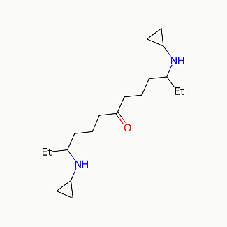 CCC(CCCC(=O)CCCC(CC)NC1CC1)NC1CC1